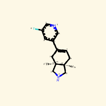 Fc1cncc(C2=CC[C@H]3CNC[C@H]3C2)c1